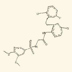 COc1ccc(S(=O)(=O)NCC(=O)Nc2ccc(Cl)cc2Cc2c(Cl)cccc2Cl)cc1OC